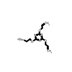 C=CCOc1nc(OCC=C)nc(OCCCCCCCCCCCC)n1